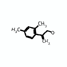 C=C(C[O])c1ccc(C)cc1C